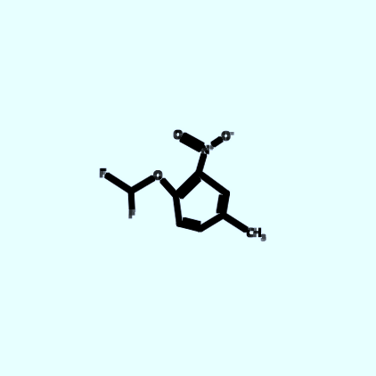 Cc1ccc(OC(F)F)c([N+](=O)[O-])c1